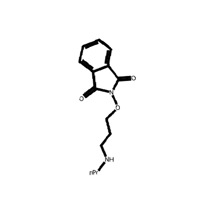 CCCNCCCON1C(=O)c2ccccc2C1=O